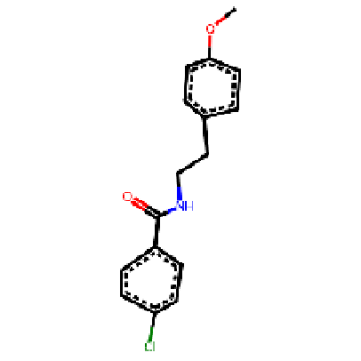 COc1ccc(CCNC(=O)c2ccc(Cl)cc2)cc1